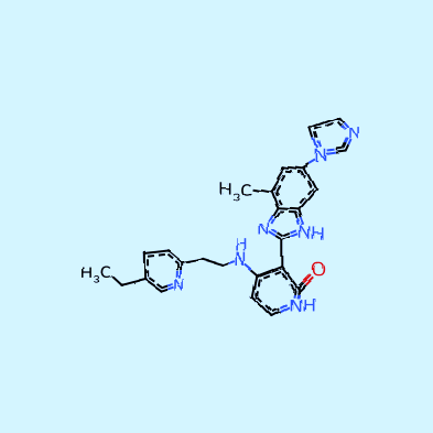 CCc1ccc(CCNc2cc[nH]c(=O)c2-c2nc3c(C)cc(-n4ccnc4)cc3[nH]2)nc1